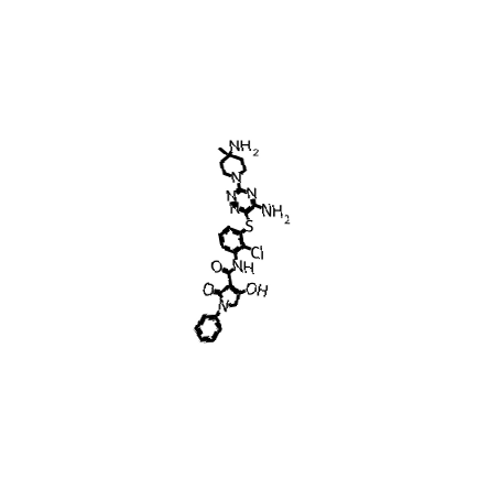 CC1(N)CCN(c2nnc(Sc3cccc(NC(=O)C4=C(O)CN(c5ccccc5)C4=O)c3Cl)c(N)n2)CC1